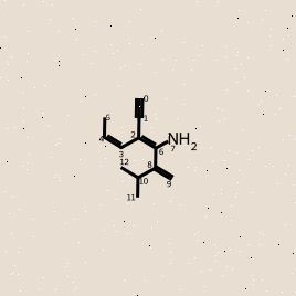 C#CC(/C=C\C)=C(\N)C(=C)C(C)C